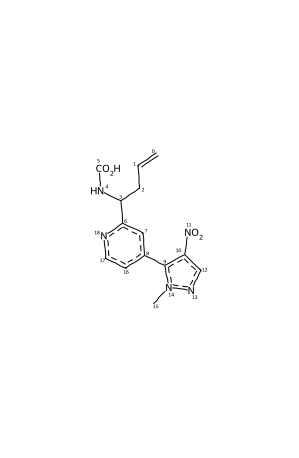 C=CCC(NC(=O)O)c1cc(-c2c([N+](=O)[O-])cnn2C)ccn1